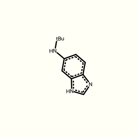 CC(C)(C)Nc1ccc2nc[nH]c2c1